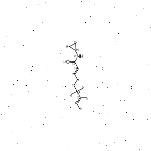 CC=C(C)C(C)(C)CCC=CC(=O)NC1CC1